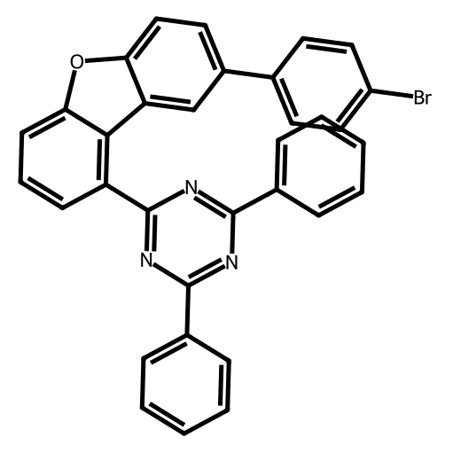 Brc1ccc(-c2ccc3oc4cccc(-c5nc(-c6ccccc6)nc(-c6ccccc6)n5)c4c3c2)cc1